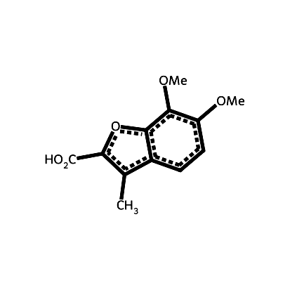 COc1ccc2c(C)c(C(=O)O)oc2c1OC